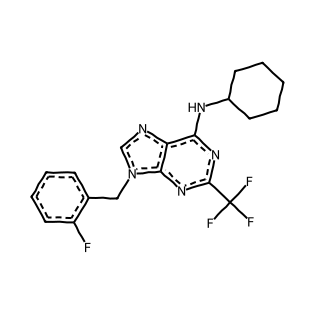 Fc1ccccc1Cn1cnc2c(NC3CCCCC3)nc(C(F)(F)F)nc21